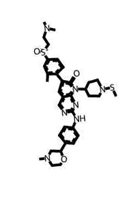 CSN1CCC(n2c(=O)c(-c3ccc([S+]([O-])CCN(C)C)cc3C)cc3cnc(Nc4ccc(C5CN(C)CCO5)cc4)nc32)CC1